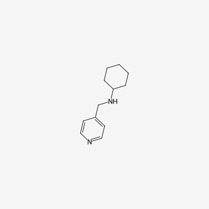 c1cc(CNC2CCCCC2)ccn1